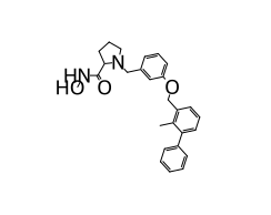 Cc1c(COc2cccc(CN3CCCC3C(=O)NO)c2)cccc1-c1ccccc1